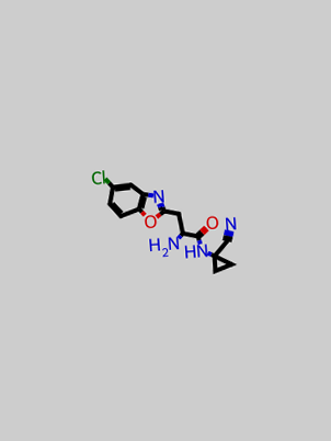 N#CC1(NC(=O)C(N)Cc2nc3cc(Cl)ccc3o2)CC1